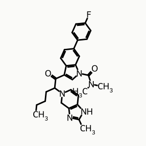 CCCCC(C(=O)c1cn(C(=O)N(C)C)c2cc(-c3ccc(F)cc3)ccc12)N1C=Cc2[nH]c(C)nc2C1